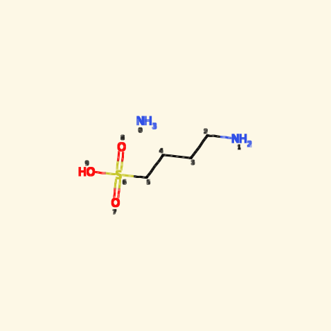 N.NCCCCS(=O)(=O)O